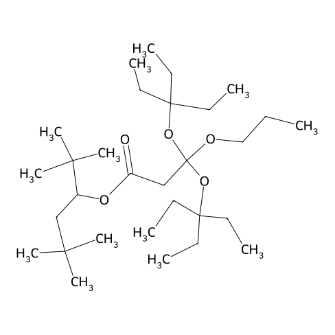 CCCOC(CC(=O)OC(CC(C)(C)C)C(C)(C)C)(OC(CC)(CC)CC)OC(CC)(CC)CC